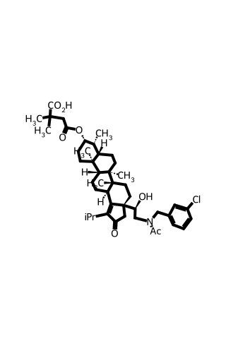 CC(=O)N(Cc1cccc(Cl)c1)C[C@H](O)[C@@]12CC[C@]3(C)[C@H](CC[C@@H]4[C@@]5(C)CC[C@H](OC(=O)CC(C)(C)C(=O)O)[C@H](C)[C@@H]5CC[C@]43C)C1=C(C(C)C)C(=O)C2